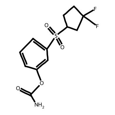 NC(=O)Oc1cccc(S(=O)(=O)C2CCC(F)(F)C2)c1